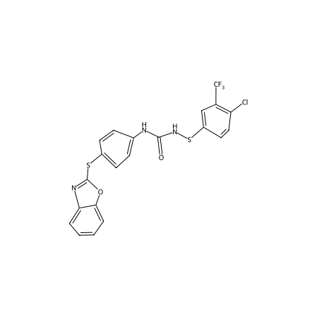 O=C(NSc1ccc(Cl)c(C(F)(F)F)c1)Nc1ccc(Sc2nc3ccccc3o2)cc1